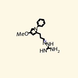 COc1cc(CC/C=N/NC(=N)N)n(-c2ccccc2)c1